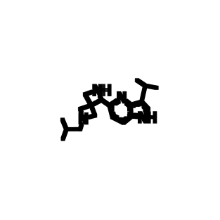 CC(C)CN1CC2(CNC2c2ccc3[nH]cc(C(C)C)c3n2)C1